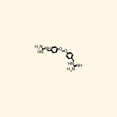 N=C(N)NCc1ccc(OCOc2ccc(CNC(=N)N)cc2)cc1